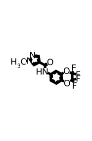 Cn1cc(C(=O)Nc2ccc3c(c2)OC(F)(F)C(F)(F)O3)cn1